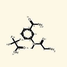 CN(C(=O)CN)c1cccc(C(N)=O)c1.O=C(O)C(F)(F)F